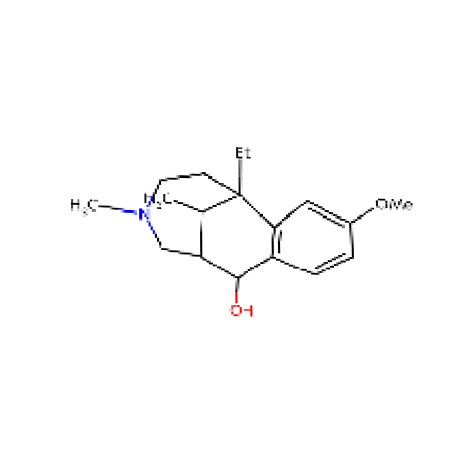 CCC12CCN(C)CC(C(O)c3ccc(OC)cc31)C2C